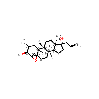 C=CCC1(O)CC[C@H]2[C@@H]3CCC45OC4(C)C(=O)C(C#N)C[C@]5(C)[C@@H]3CC[C@@]21C